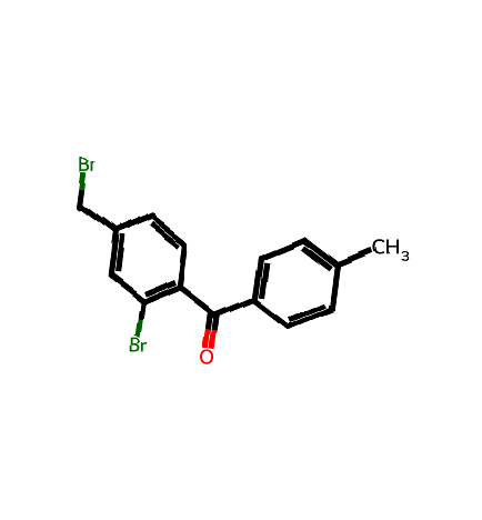 Cc1ccc(C(=O)c2ccc(CBr)cc2Br)cc1